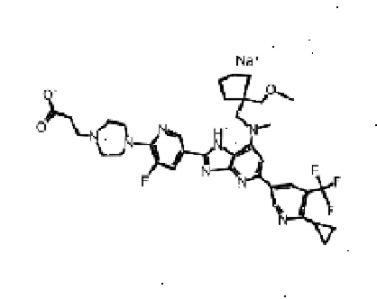 COCC1(CN(C)c2cc(-c3cnc(C4CC4)c(C(F)(F)F)c3)nc3nc(-c4cnc(N5CCN(CCC(=O)[O-])CC5)c(F)c4)[nH]c23)CCCC1.[Na+]